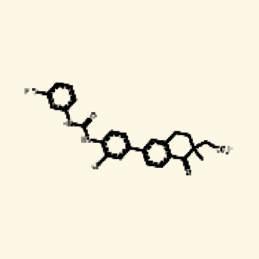 CC1(CC(=O)O)CCc2cc(-c3ccc(NC(=O)Nc4cccc(C(F)(F)F)c4)c(Cl)c3)ccc2C1=O